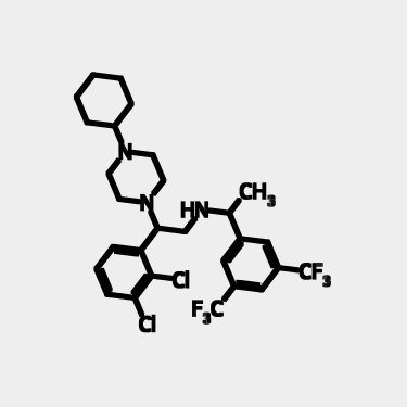 CC(NCC(c1cccc(Cl)c1Cl)N1CCN(C2CCCCC2)CC1)c1cc(C(F)(F)F)cc(C(F)(F)F)c1